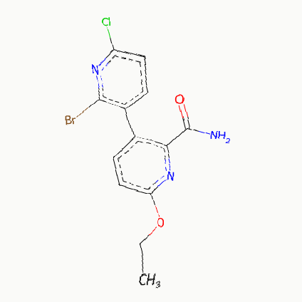 CCOc1ccc(-c2ccc(Cl)nc2Br)c(C(N)=O)n1